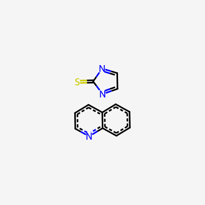 S=C1N=CC=N1.c1ccc2ncccc2c1